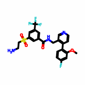 COc1cc(F)ccc1-c1ccncc1CNC(=O)c1cc(C(F)(F)F)cc(S(=O)(=O)CCN)c1